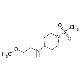 COCCNC1CCN(S(C)(=O)=O)CC1